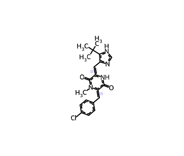 Cn1c(=O)/c(=C/c2nc[nH]c2C(C)(C)C)[nH]c(=O)/c1=C/c1ccc(Cl)cc1